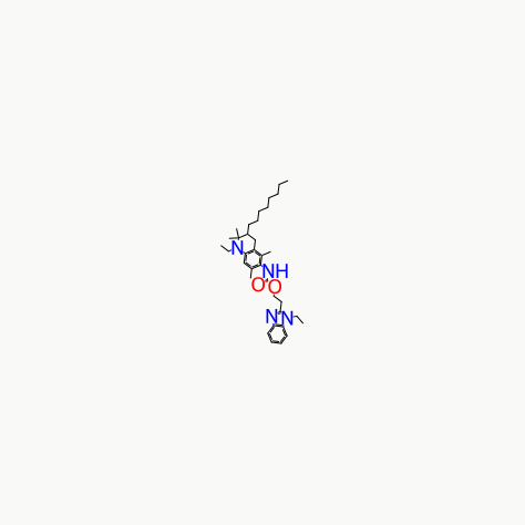 CCCCCCCCC1Cc2c(cc(C)c(NC(=O)OCCc3nc4ccccc4n3CC)c2C)N(CC)C1(C)C